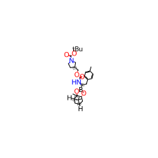 Cc1ccc(C[C@H](NC(=O)OC[C@H]2CCN(C(=O)OC(C)(C)C)C2)B2OC3C[C@@H]4C[C@@H](C4(C)C)[C@]3(C)O2)cc1